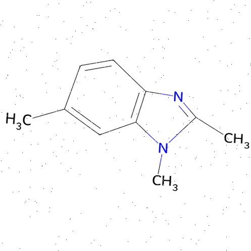 Cc1ccc2nc(C)n(C)c2c1